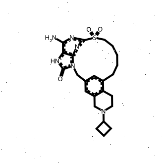 Nc1nc2nc3c1[nH]c(=O)n3Cc1cc(c3c(c1)CN(C1CCC1)CC3)CCCCCS2(=O)=O